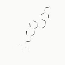 CC[Si](CC)(CC)c1cc2cc3c(ccc4c5cc6ccoc6cc5ccc34)cc2o1